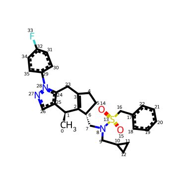 C[C@@H]1C2=C(CC[C@@H]2CN(CC2CC2)S(=O)(=O)Cc2ccccc2)Cc2c1cnn2-c1ccc(F)cc1